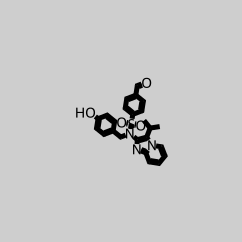 CC(C)c1c(N(Cc2ccc(O)cc2)S(=O)(=O)c2ccc(C=O)cc2)nc2ccccn12